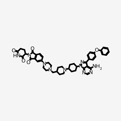 Nc1ncnc2c1c(-c1ccc(Oc3ccccc3)cc1)nn2C1CCC(N2CCC(CN3CCN(c4ccc5c(c4)C(=O)N(C4CCC(=O)NC4=O)C5=O)CC3)CC2)CC1